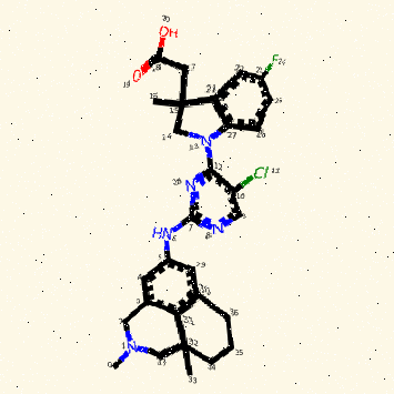 CN1Cc2cc(Nc3ncc(Cl)c(N4CC(C)(CC(=O)O)c5cc(F)ccc54)n3)cc3c2C(C)(CCC3)C1